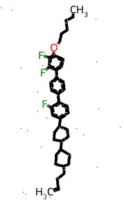 C=CCCC1CCC(C2CCC(c3ccc(-c4ccc(-c5ccc(OCCCCCC)c(F)c5F)cc4)c(F)c3)CC2)CC1